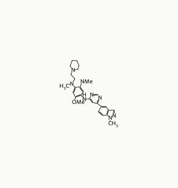 CNc1cc(Nc2cc(-c3ccc4c(cnn4C)c3)ncn2)c(OC)cc1N(C)CCN1CCCCC1